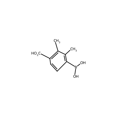 Cc1c(B(O)O)ccc(C(=O)O)c1C